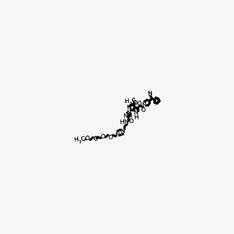 CCOCCOCCOCCOCCN1CCN(CCCNC(=O)c2ncn(-c3ncc(OC)c4c(C(=O)C(=O)N5CCC(=C(C#N)c6ccccc6)CC5)c[nH]c34)n2)CC1